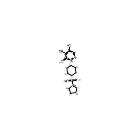 O=c1c(Cl)c(Cl)cnn1[C@H]1CC[C@@H](S(=O)(=O)N2CCCC2)CC1